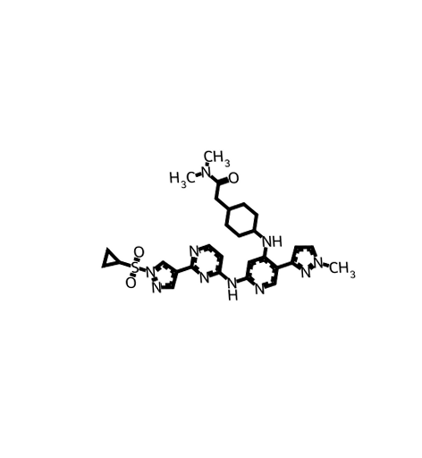 CN(C)C(=O)CC1CCC(Nc2cc(Nc3ccnc(-c4cnn(S(=O)(=O)C5CC5)c4)n3)ncc2-c2ccn(C)n2)CC1